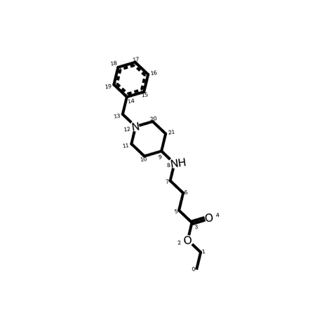 CCOC(=O)CCCNC1CCN(Cc2ccccc2)CC1